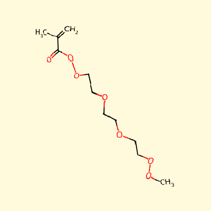 C=C(C)C(=O)OOCCOCCOCCOOC